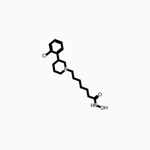 O=C(CCCCCCN1CCCC(c2ccccc2Cl)C1)NO